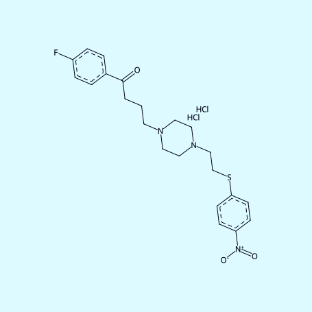 Cl.Cl.O=C(CCCN1CCN(CCSc2ccc([N+](=O)[O-])cc2)CC1)c1ccc(F)cc1